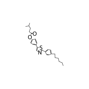 CCCCCCc1ccc(-c2ncc(-c3ccc(OC(=O)CCC(C)C)cc3)s2)cc1